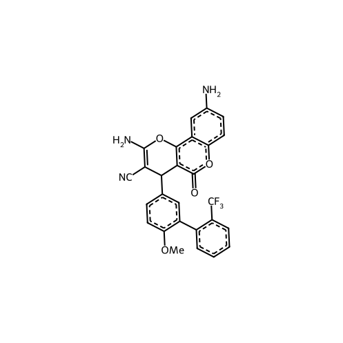 COc1ccc(C2C(C#N)=C(N)Oc3c2c(=O)oc2ccc(N)cc32)cc1-c1ccccc1C(F)(F)F